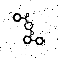 O=C(c1ccccc1)N1CCC(Oc2ccccc2-c2ccncc2)CC1